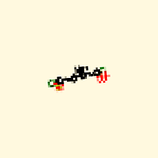 O=S(=O)([O-])c1cc(C=Cc2ccc(-c3ccc(C=Cc4ccc(Cl)c(S(=O)(=O)[O-])c4)cc3)cc2)ccc1Cl.[Na+].[Na+]